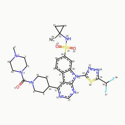 CN1CCN(C(=O)N2CCC(c3ncnc4c3c3ccc(S(=O)(=O)NC5(C#N)CC5)cc3n4-c3nnc(C(F)F)s3)CC2)CC1